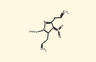 C=CCC1=NN(CCCCC)C(CC=C)C1=S(=O)=O